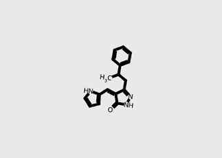 CC(CC1=NNC(=O)C1=Cc1ccc[nH]1)c1ccccc1